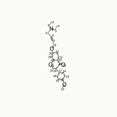 CCN(CC)CC#CCOc1ccc2c(=O)c(-c3ccc(OC)cc3)coc2c1